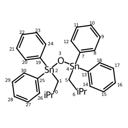 CC(C)[CH2][Sn]([O][Sn]([CH2]C(C)C)([c]1ccccc1)[c]1ccccc1)([c]1ccccc1)[c]1ccccc1